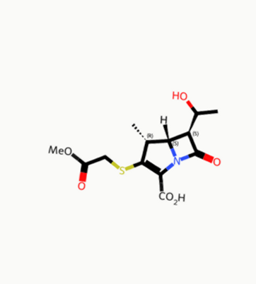 COC(=O)CSC1=C(C(=O)O)N2C(=O)[C@H](C(C)O)[C@H]2[C@H]1C